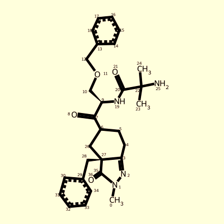 CN1N=C2CCC(C(=O)[C@@H](COCc3ccccc3)NC(=O)C(C)(C)N)C[C@@]2(Cc2ccccc2)C1=O